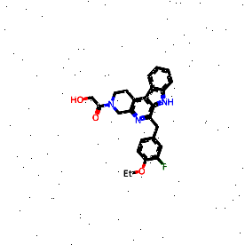 CCOc1ccc(Cc2nc3c(c4c2[nH]c2ccccc24)CCN(C(=O)CO)C3)cc1F